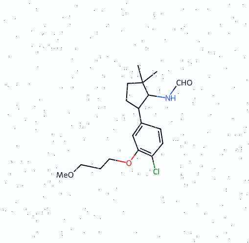 COCCCOc1cc(C2CCC(C)(C)C2NC=O)ccc1Cl